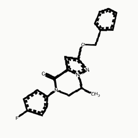 CC1CN(c2ccc(F)cc2)C(=O)c2cc(OCc3ccccc3)nn21